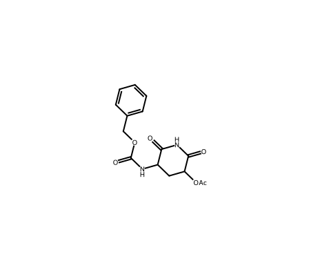 CC(=O)OC1CC(NC(=O)OCc2ccccc2)C(=O)NC1=O